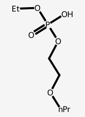 CCCOCCOP(=O)(O)OCC